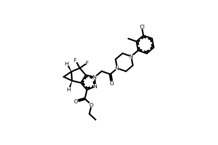 CCOC(=O)c1nn(CC(=O)N2CCN(c3cccc(Cl)c3C)CC2)c2c1[C@@H]1C[C@@H]1C2(F)F